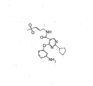 C[C@@H](/C=C/S(C)(=O)=O)NC(=O)c1cnc(C2CCCC2)nc1Oc1cccc(N)c1